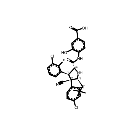 CC(C)(C)C[C@@H]1N[C@@H](C(=O)Nc2ccc(C(=O)O)cc2O)[C@H](c2cccc(Cl)c2F)[C@@]1(C#N)c1ccc(Cl)cc1F